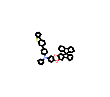 C1=C(c2ccc3c(c2)sc2ccccc23)CCC(N(c2ccccc2)c2ccc3c(c2)Oc2cc4c(cc2O3)-c2ccccc2C42c3ccccc3-c3ccccc32)=C1